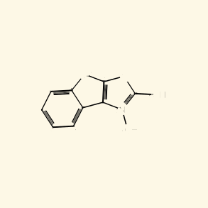 Cc1sc2sc3ccccc3c2[n+]1C